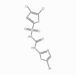 O=C(Nc1ncc(Br)s1)NS(=O)(=O)c1cc(Cl)c(Cl)s1